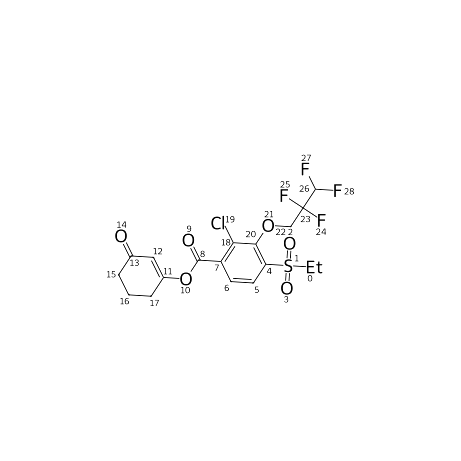 CCS(=O)(=O)c1ccc(C(=O)OC2=CC(=O)CCC2)c(Cl)c1OCC(F)(F)C(F)F